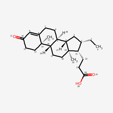 CC[C@H]1C[C@H]2[C@@H]3CCC4=CC(=O)CC[C@]4(C)[C@H]3CC[C@]2(C)[C@H]1CCC(=O)O